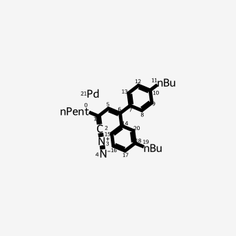 CCCCCC(=C=[N+]=[N-])C=C(c1ccc(CCCC)cc1)c1cccc(CCCC)c1.[Pd]